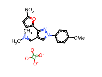 COc1ccc(-n2cc(C=[N+](C)C)c(-c3ccc([N+](=O)[O-])o3)n2)cc1.[O-][Cl+3]([O-])([O-])[O-]